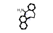 N/C1=c2\ccc3ccccc3\c2=C/CCc2ccccc21